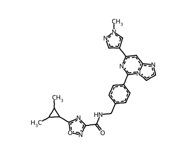 CC1C(C)C1c1nc(C(=O)NCc2ccc(-c3nc(-c4cnn(C)c4)cc4nccn34)cc2)no1